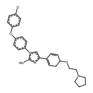 CCCCc1nc(C2=CCC(OCCN3CCCC3)C=C2)cn1-c1ccc(Oc2ccc(Cl)cc2)cc1